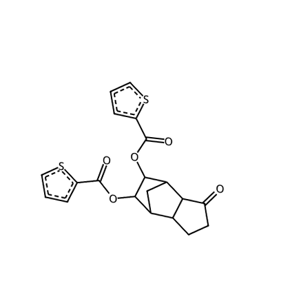 O=C(OC1C2CC(C1OC(=O)c1cccs1)C1C(=O)CCC21)c1cccs1